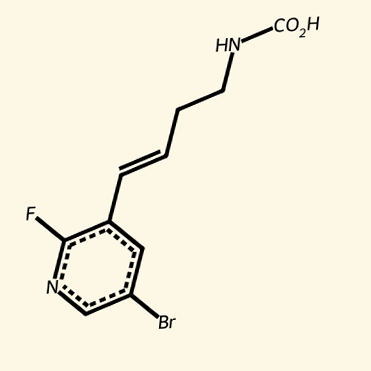 O=C(O)NCCC=Cc1cc(Br)cnc1F